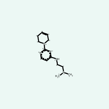 CN(C)CCNc1ccnc(N2CC=CCC2)n1